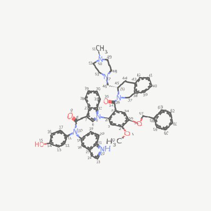 COc1cc(-n2cc(C(=O)N(c3ccc(O)cc3)c3ccc4[nH]ccc4c3)c3ccccc32)c(C(=O)N2Cc3ccccc3C[C@H]2CN2CCN(C)CC2)cc1OCc1ccccc1